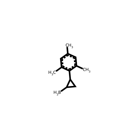 BC1CC1c1c(C)cc(C)cc1C